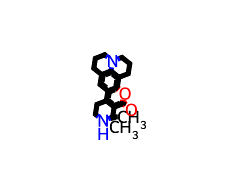 CC1(C)NCCc2c1c(=O)oc1c3c4c(cc21)CCCN4CCC3